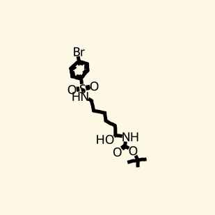 CC(C)(C)OC(=O)NC(O)CCCCCNS(=O)(=O)c1ccc(Br)cc1